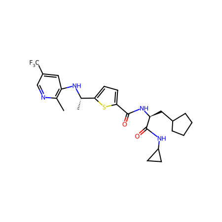 Cc1ncc(C(F)(F)F)cc1N[C@@H](C)c1ccc(C(=O)N[C@@H](CC2CCCC2)C(=O)NC2CC2)s1